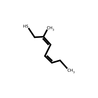 CC/C=C\C=C(\C)CS